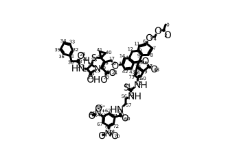 CC(=O)OCOc1ccc2c(c1)Cc1cc(OCC3=C(C(=O)O)N4C(=O)C(NC(=O)Cc5ccccc5)[C@H]4SC34CC4)ccc1C21OC(=O)c2cc(NC(=S)NCCNC(=O)c3cc([N+](=O)[O-])cc([N+](=O)[O-])c3)ccc21